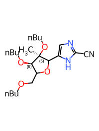 CCCCOCC1OC(c2cnc(C#N)[nH]2)[C@](C)(OCCCC)[C@@H]1OCCCC